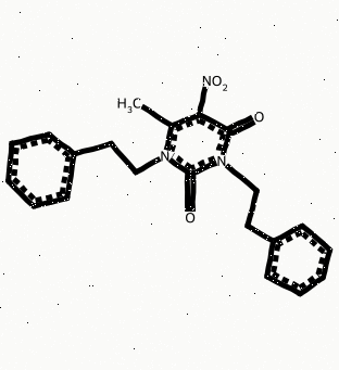 Cc1c([N+](=O)[O-])c(=O)n(CCc2ccccc2)c(=O)n1CCc1ccccc1